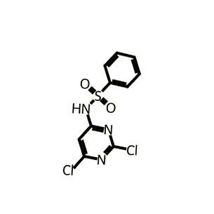 O=S(=O)(Nc1cc(Cl)nc(Cl)n1)c1ccccc1